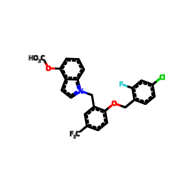 O=C(O)Oc1cccc2c1ccn2Cc1cc(C(F)(F)F)ccc1OCc1ccc(Cl)cc1F